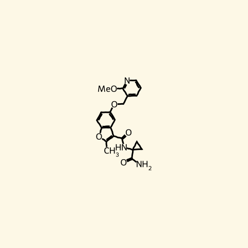 COc1ncccc1COc1ccc2oc(C)c(C(=O)NC3(C(N)=O)CC3)c2c1